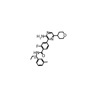 CC[C@@H](NC(=O)c1ccc(-c2nc(C3CCOCC3)cnc2N)cc1F)c1cccc(C)c1